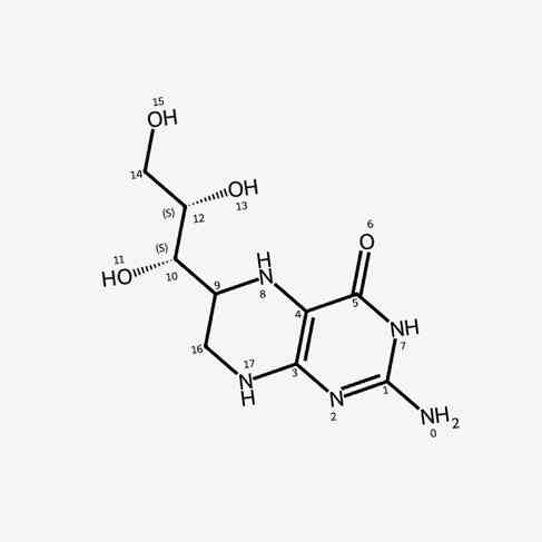 Nc1nc2c(c(=O)[nH]1)NC([C@H](O)[C@@H](O)CO)CN2